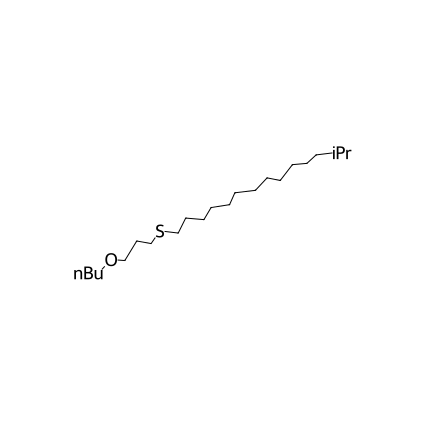 CCCCOCCCSCCCCCCCCCCCCC(C)C